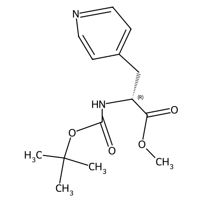 COC(=O)[C@@H](Cc1ccncc1)NC(=O)OC(C)(C)C